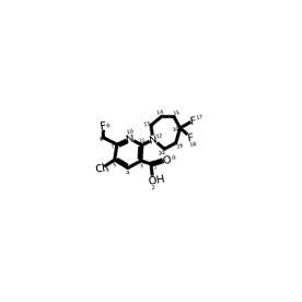 O=C(O)c1cc(Cl)c(CF)nc1N1CCCC(F)(F)CC1